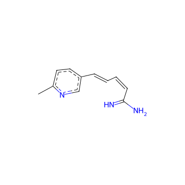 Cc1ccc(/C=C/C=C\C(=N)N)cn1